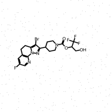 O=C(OC(CO)C(F)(F)F)N1CCC(c2nn3c(c2Br)CCc2cc(F)cnc2-3)CC1